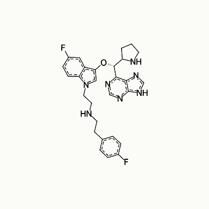 Fc1ccc(CCNCCn2cc(O[C@@H](c3ncnc4[nH]cnc34)C3CCCN3)c3cc(F)ccc32)cc1